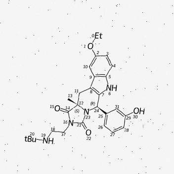 CCOc1ccc2[nH]c3c(c2c1)C[C@@]1(C)C(=O)N(CCNC(C)(C)C)C(=O)N1[C@@H]3c1cccc(O)c1